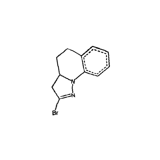 BrC1=NN2c3ccccc3CCC2C1